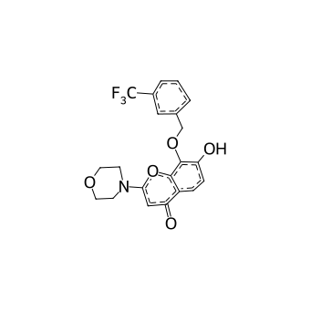 O=c1cc(N2CCOCC2)oc2c(OCc3cccc(C(F)(F)F)c3)c(O)ccc12